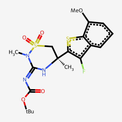 COc1cccc2c(F)c([C@]3(C)CS(=O)(=O)N(C)/C(=N/C(=O)OC(C)(C)C)N3)sc12